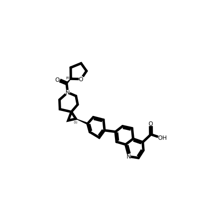 O=C(O)c1ccnc2cc(-c3ccc([C@H]4CC45CCN(C(=O)[C@H]4CCCO4)CC5)cc3)ccc12